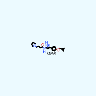 COc1cc(-c2cc(NC(=O)CCCN3CCCC3)[nH]n2)ccc1OCC1CC1